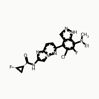 CCN(C)c1c(F)c(Cl)c(-c2ccc3nc(NC(=O)[C@@H]4C[C@@H]4F)cn3n2)c2cn[nH]c12